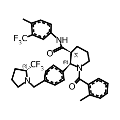 Cc1ccccc1C(=O)N1CCC[C@H](C(=O)Nc2ccc(C)c(C(F)(F)F)c2)[C@@H]1c1ccc(CN2CCC[C@@H]2C(F)(F)F)cc1